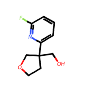 OCC1(c2cccc(F)n2)CCOC1